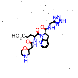 O=C(O)CCC(NC(=O)CC1CNCCO1)C(=O)N1c2ncccc2C[C@H]1C(=O)NCc1nn[nH]n1